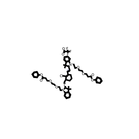 CC1(C)C(=C=CC2CCCC(/C=C/C3=[N+](CCOCCOCCC(=O)Oc4ccccc4)c4ccccc4C3(C)C)=C2Cl)N(CCOCCOCCC(=O)Oc2ccccc2)c2ccccc21.O=C([O-])C(F)(F)F